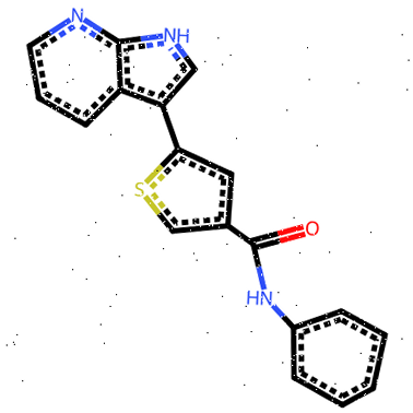 O=C(Nc1ccccc1)c1csc(-c2c[nH]c3ncccc23)c1